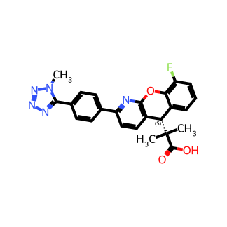 Cn1nnnc1-c1ccc(-c2ccc3c(n2)Oc2c(F)cccc2[C@@H]3C(C)(C)C(=O)O)cc1